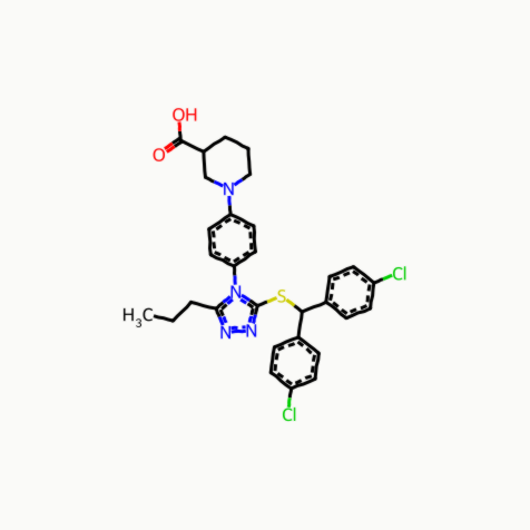 CCCc1nnc(SC(c2ccc(Cl)cc2)c2ccc(Cl)cc2)n1-c1ccc(N2CCCC(C(=O)O)C2)cc1